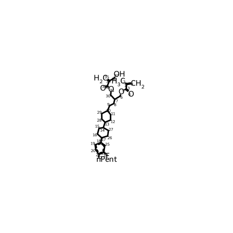 C=C(C)C(=O)OCC(CCC1CCC(C2CCC(c3ccc(CCCCC)c(F)c3)CC2)CC1)COC(=O)C(=C)CO